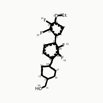 CCOc1ccc(-c2ccc(C3CCC(CO)CC3)c(F)c2F)c(F)c1F